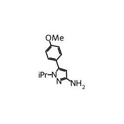 COc1ccc(-c2cc(N)nn2C(C)C)cc1